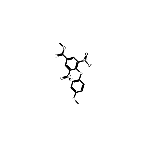 COC(=O)c1cc([N+](=O)[O-])c(Oc2ccc(OC)cc2)c([N+](=O)[O-])c1